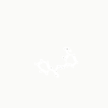 Nc1cccc(/C=C/C(=O)c2ccccc2)c1